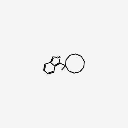 CC1(C2=c3ccccc3=C[P]2)CCCCCCCCC1